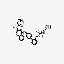 CCC(=O)N[C@@H]1CSc2ccccc2N(Cc2ccc(-c3ccccc3CNC(=O)NCCO)cc2)C1=O